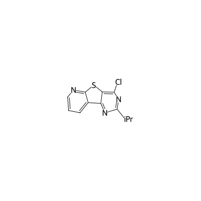 CC(C)c1nc(Cl)c2sc3ncccc3c2n1